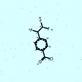 O=C(Cl)c1ccc(C(F)C(F)F)cc1